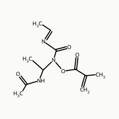 C=C(C)C(=O)ON(C(=O)N=CC)C(C)NC(C)=O